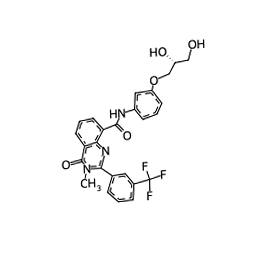 Cn1c(-c2cccc(C(F)(F)F)c2)nc2c(C(=O)Nc3cccc(OC[C@H](O)CO)c3)cccc2c1=O